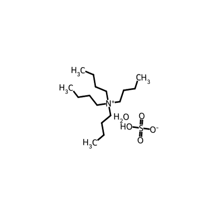 CCCC[N+](CCCC)(CCCC)CCCC.O.O=S(=O)([O-])O